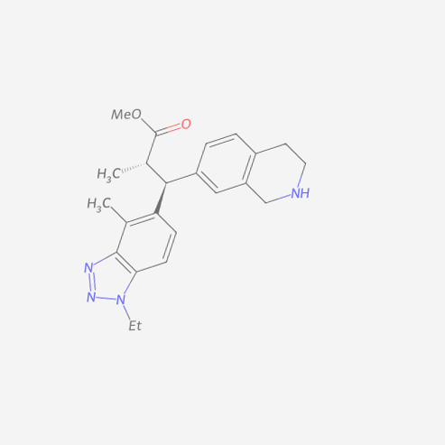 CCn1nnc2c(C)c([C@H](c3ccc4c(c3)CNCC4)[C@H](C)C(=O)OC)ccc21